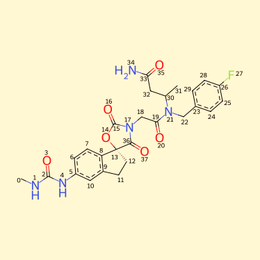 CNC(=O)Nc1ccc2c(c1)CC[C@@]21OC(=O)N(CC(=O)N(Cc2ccc(F)cc2)C(C)CC(N)=O)C1=O